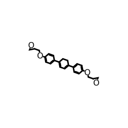 C1=C(c2ccc(OCC3CO3)cc2)CCC(c2ccc(OCC3CO3)cc2)=C1